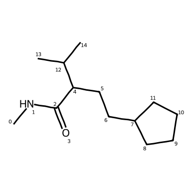 CNC(=O)C(CCC1CCCC1)C(C)C